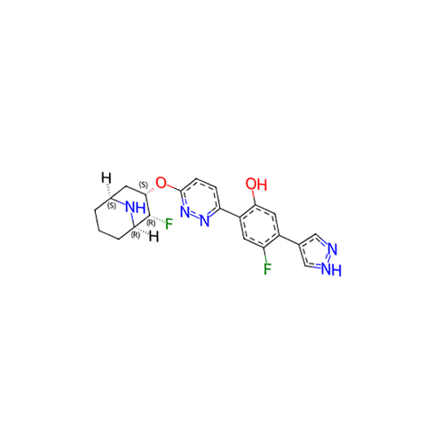 Oc1cc(-c2cn[nH]c2)c(F)cc1-c1ccc(O[C@H]2C[C@@H]3CCC[C@@H](N3)[C@H]2F)nn1